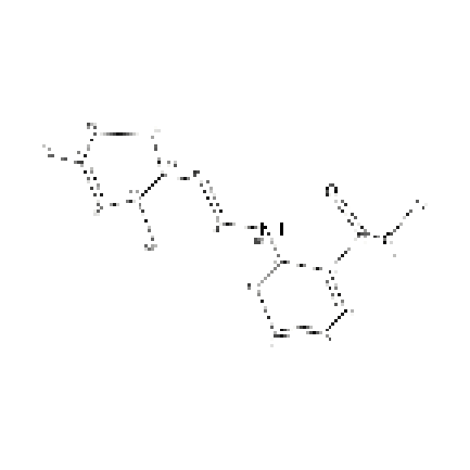 COC(=O)c1ccccc1NC=CC1CCC(C)=CC1C